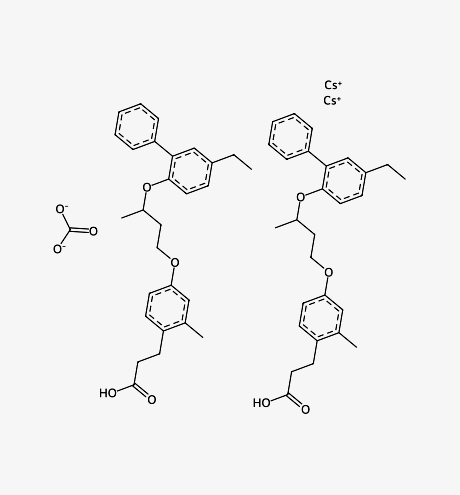 CCc1ccc(OC(C)CCOc2ccc(CCC(=O)O)c(C)c2)c(-c2ccccc2)c1.CCc1ccc(OC(C)CCOc2ccc(CCC(=O)O)c(C)c2)c(-c2ccccc2)c1.O=C([O-])[O-].[Cs+].[Cs+]